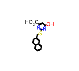 O=C(O)c1cc(O)nc(SCc2ccc3ccccc3c2)n1